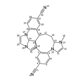 C=C1c2cc(C#N)ccc2N2C=CN(C)C2CCC2c3cc(C#N)ccc3N3C=CN4CCC12C43